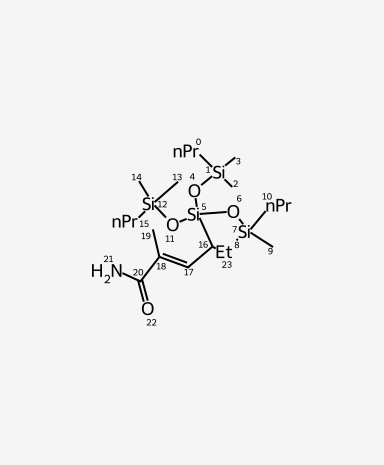 CCC[Si](C)(C)O[Si](O[Si](C)(C)CCC)(O[Si](C)(C)CCC)C(/C=C(\C)C(N)=O)CC